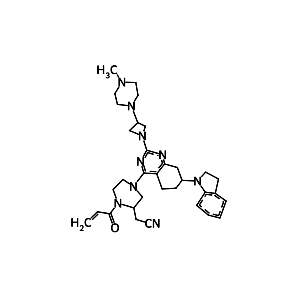 C=CC(=O)N1CCN(c2nc(N3CC(N4CCN(C)CC4)C3)nc3c2CCC(N2CCc4ccccc42)C3)CC1CC#N